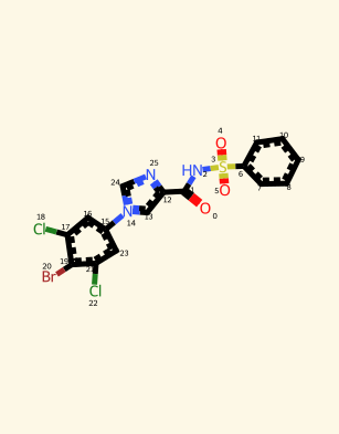 O=C(NS(=O)(=O)c1ccccc1)c1cn(-c2cc(Cl)c(Br)c(Cl)c2)cn1